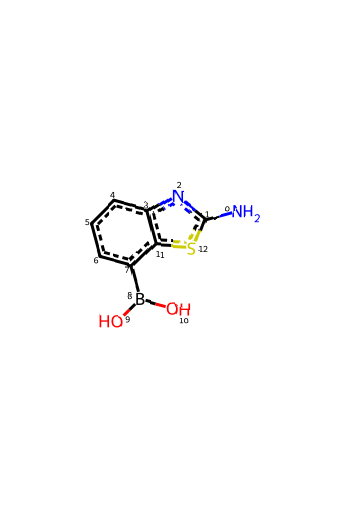 Nc1nc2cccc(B(O)O)c2s1